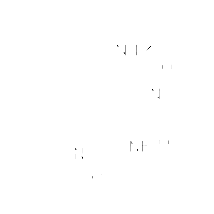 CCC(C)[C@@H]1NC[C@@H](C)Oc2ccccc2CCCNC(=O)[C@@H](Cc2ccc(C)cc2)NC(=O)[C@@H](C)N(C)C1=O